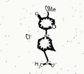 COc1coc(-[n+]2ccc([S+](C)[O-])cc2)cc1=O.[Cl-]